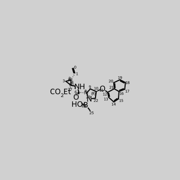 C=C[C@H]1C[C@@]1(NC(=O)[C@@H]1C[C@@H](Oc2cccc3ccccc23)CN1B(C)O)C(=O)OCC